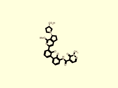 COc1nc(-c2cccc(-c3cccc(NC(=O)c4ccnn(C)c4=O)c3Cl)c2Cl)cc2c1[C@H](N1CC[C@H](C(=O)O)C1)CC2